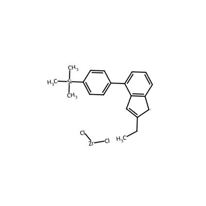 CCC1=Cc2c(cccc2-c2ccc([Si](C)(C)C)cc2)[CH]1.[Cl][Zr][Cl]